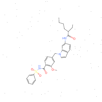 CCCCC(CC)C(=O)Nc1ccc2ccn(Cc3ccc(C(=O)NS(=O)(=O)c4ccccc4)c(OC)c3)c2c1